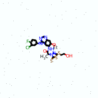 CCOc1cc2ncnc(Nc3ccc(F)c(Cl)c3)c2cc1NC(=O)C(C)n1nc(SCCO)sc1=S